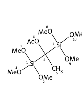 CO[Si](OC)(OC)C(C)(OC(C)=O)[Si](OC)(OC)OC